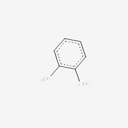 CCCCc1ccccc1[C]=O